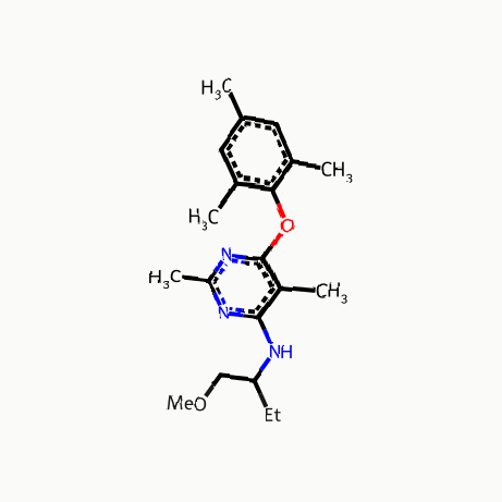 CCC(COC)Nc1nc(C)nc(Oc2c(C)cc(C)cc2C)c1C